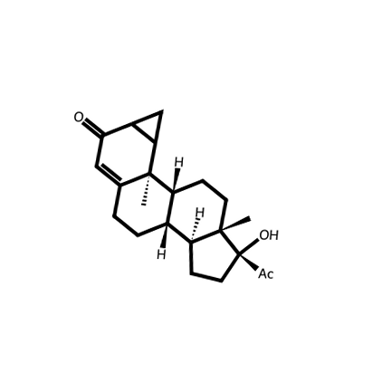 CC(=O)[C@@]1(O)CC[C@H]2[C@@H]3CCC4=CC(=O)C5CC5[C@@]4(C)[C@@H]3CC[C@@]21C